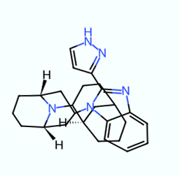 c1ccc2c(c1)nc(-c1cc[nH]n1)n2C1C[C@H]2CCC[C@@H](C1)N2C1CCC2CCC[C@@H]1C2